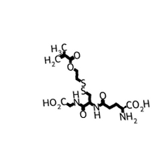 C=C(C)C(=O)OCCSSCC(NC(=O)CC[C@H](N)C(=O)O)C(=O)NCC(=O)O